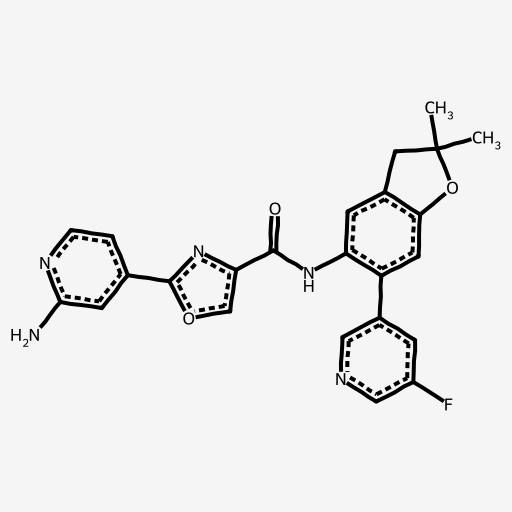 CC1(C)Cc2cc(NC(=O)c3coc(-c4ccnc(N)c4)n3)c(-c3cncc(F)c3)cc2O1